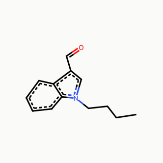 CCCCn1cc(C=O)c2ccccc21